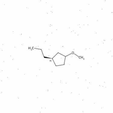 CCC[C@@H]1CCC(OC)C1